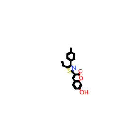 CCc1sc(-c2cc3ccc(O)cc3oc2=O)nc1-c1ccc(C)cc1